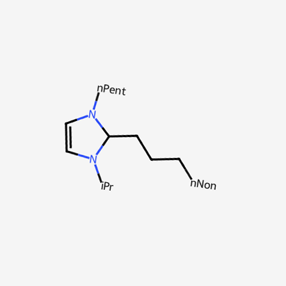 CCCCCCCCCCCCC1N(CCCCC)C=CN1C(C)C